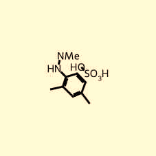 CNNc1ccc(C)cc1C.O=S(=O)(O)O